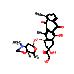 COc1cccc2c1C(=O)c1c(N=O)c3c(c(O)c1C2=O)C[C@@](O)(C(=O)CO)C[C@@H]3O[C@H]1CC2[C@H](OCN2C(=O)O)[C@H](C)O1